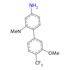 CNc1cc(N)ccc1-c1ccc(C(F)(F)F)c(OC)c1